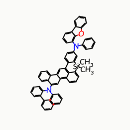 C[Si]1(C)c2cc(N(c3ccccc3)c3cccc4c3oc3ccccc34)ccc2-c2cc3c4ccccc4c(N(c4ccccc4)c4ccccc4-c4ccccc4)cc3c3cccc1c23